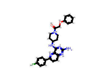 Nc1nc(NC2CCN(C(=O)COc3ccccc3)CC2)c2nc(-c3ccc(F)cc3)ccc2n1